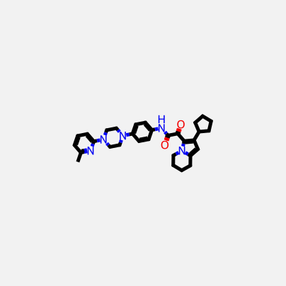 Cc1cccc(N2CCN(c3ccc(NC(=O)C(=O)c4c(C5CCCC5)cc5n4CCCC5)cc3)CC2)n1